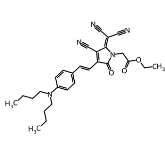 CCCCN(CCCC)c1ccc(/C=C/C2=C(C#N)C(=C(C#N)C#N)N(CC(=O)OCC)C2=O)cc1